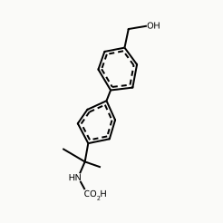 CC(C)(NC(=O)O)c1ccc(-c2ccc(CO)cc2)cc1